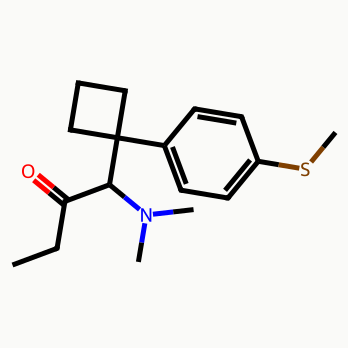 CCC(=O)C(N(C)C)C1(c2ccc(SC)cc2)CCC1